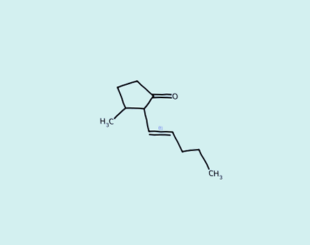 CCC/C=C/C1C(=O)CCC1C